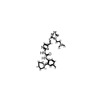 Cc1ccc(NC(=O)Nc2ncc(CSc3nnnn3CCN(C)C)s2)c(N2CCCCC2)c1